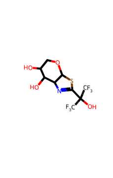 OC1COC2SC(C(O)(C(F)(F)F)C(F)(F)F)=NC2C1O